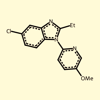 CCc1nc2cc(Cl)ccc2n1-c1ccc(OC)cn1